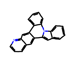 c1cnc2cc3c4ccccc4n4c5ccccc5cc4c3cc2c1